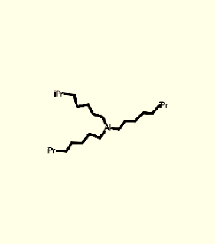 CC(C)CCCC[CH2][Al]([CH2]CCCCC(C)C)[CH2]CCCCC(C)C